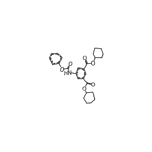 O=C(Nc1cc(C(=O)OC2CCCCC2)cc(C(=O)OC2CCCCC2)c1)Oc1ccccc1